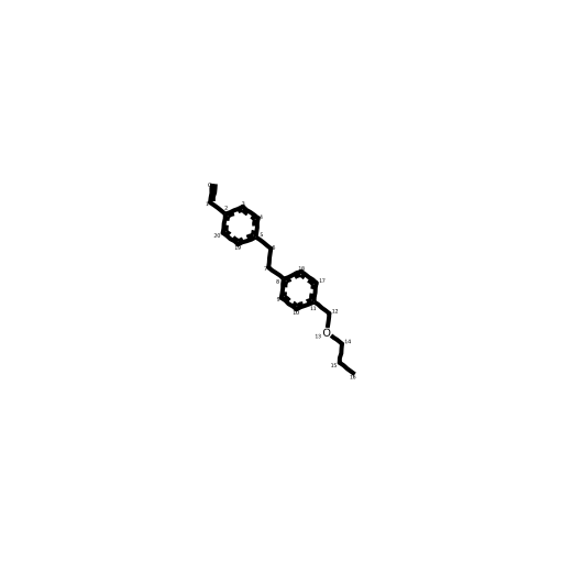 C=Cc1ccc(CCc2ccc(COCCC)cc2)cc1